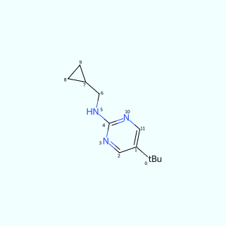 CC(C)(C)c1cnc(NCC2CC2)nc1